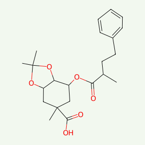 CC(CCc1ccccc1)C(=O)OC1CC(C)(C(=O)O)CC2OC(C)(C)OC12